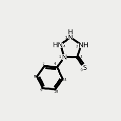 S=C1NNNN1c1ccccc1